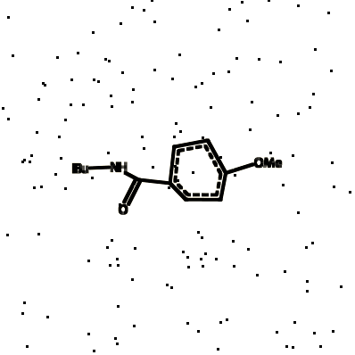 CCC(C)NC(=O)c1ccc(OC)cc1